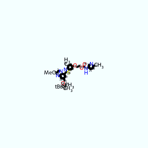 COc1cnc2c(-c3nc4c(C)cc(OCCOC(=O)Nc5ccc(C)nc5)cc4s3)cc(CO[Si](C)(C)C(C)(C)C)cc2n1